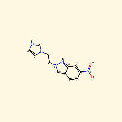 O=[N+]([O-])c1ccc2cn(CCn3ccnc3)nc2c1